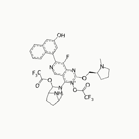 CN1CCC[C@H]1COc1nc2c(F)c(-c3cc(O)cc4ccccc34)ncc2c(N2CC3CCC(N3)C2OC(=O)C(F)(F)F)[n+]1OC(=O)C(F)(F)F